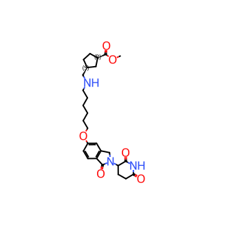 COC(=O)[C@@H]1CC[C@H](CNCCCCCCOc2ccc3c(c2)CN(C2CCC(=O)NC2=O)C3=O)C1